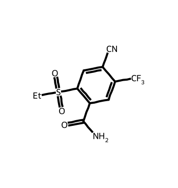 CCS(=O)(=O)c1cc(C#N)c(C(F)(F)F)cc1C(N)=O